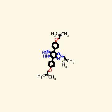 CC(C)COc1ccc(-c2c3c(c(-c4ccc(OCC(C)C)cc4)c4nn(CC(C)C)nc24)NNN3)cc1